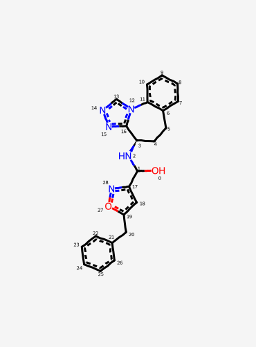 OC(N[C@@H]1CCc2ccccc2-n2cnnc21)c1cc(Cc2ccccc2)on1